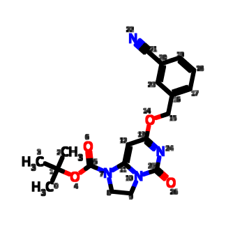 CC(C)(C)OC(=O)N1CCn2c1cc(OCc1cccc(C#N)c1)nc2=O